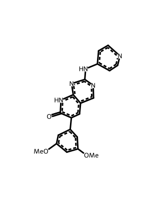 COc1cc(OC)cc(-c2cc3cnc(Nc4ccncc4)nc3[nH]c2=O)c1